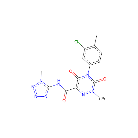 CCCn1nc(C(=O)Nc2nnnn2C)c(=O)n(-c2ccc(C)c(Cl)c2)c1=O